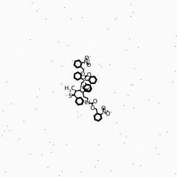 CC(C(=S)c1ccccc1)C1C(CCNC(=O)OCc2ccccc2[N+](=O)[O-])C(=O)N1CP(C(=O)OCc1ccccc1[N+](=O)[O-])(c1ccccc1)(c1ccccc1)c1ccccc1